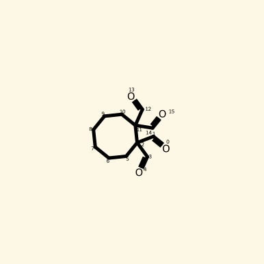 O=CC1(C=O)CCCCCCC1(C=O)C=O